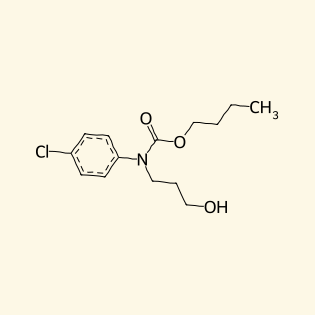 CCCCOC(=O)N(CCCO)c1ccc(Cl)cc1